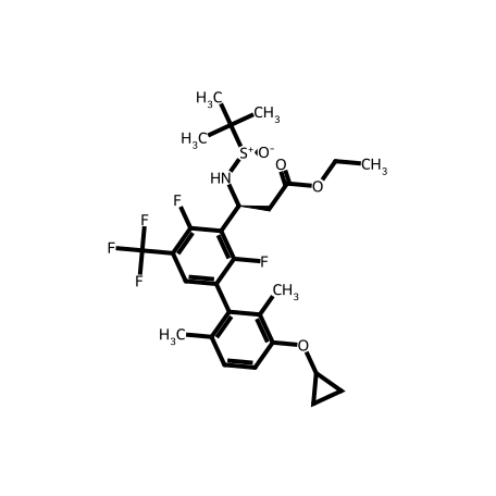 CCOC(=O)C[C@H](N[S@+]([O-])C(C)(C)C)c1c(F)c(-c2c(C)ccc(OC3CC3)c2C)cc(C(F)(F)F)c1F